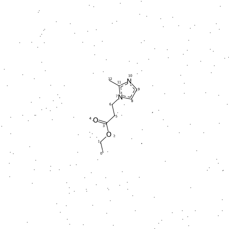 CCOC(=O)CCn1c[c]nc1C